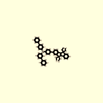 CCC1(CC)C2=C(c3ccccc31)C(CC)(CC)c1cc(-c3ccc(N(c4ccc(-c5ccccc5)cc4)c4cccc(-c5ccccc5)c4)cc3)ccc12